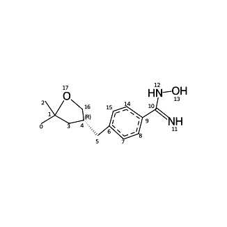 CC1(C)C[C@@H](Cc2ccc(C(=N)NO)cc2)CO1